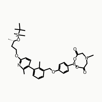 Cc1nc(OCC[C@H](C)O[Si](C)(C)C(C)(C)C)ccc1-c1cccc(COc2ccc(B3OC(=O)CN(C)CC(=O)O3)cc2)c1C